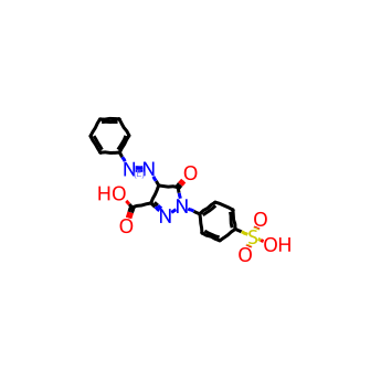 O=C(O)C1=NN(c2ccc(S(=O)(=O)O)cc2)C(=O)C1/N=N/c1ccccc1